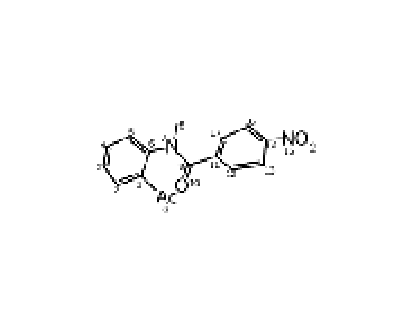 CC(=O)c1ccccc1N(C)C(=O)c1ccc([N+](=O)[O-])cc1